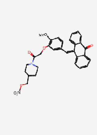 COc1ccc(C=C2c3ccccc3C(=O)c3ccccc32)cc1OCC(=O)N1CCC(CO[N+](=O)[O-])CC1